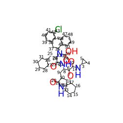 O=C(NC1CC1)C(=O)C(CC1CC2(CCCCC2)NC1=O)NC(=O)[C@H](CC1CCCCC1)N(C(=O)O)C(Cc1cccc(Cl)c1)c1ccccc1